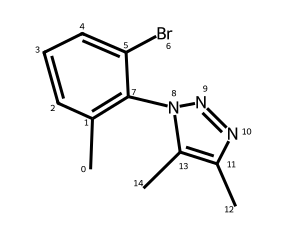 Cc1cccc(Br)c1-n1nnc(C)c1C